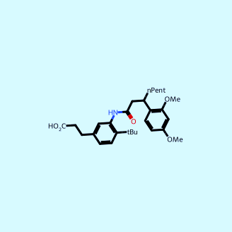 CCCCCC(CC(=O)Nc1cc(CCC(=O)O)ccc1C(C)(C)C)c1ccc(OC)cc1OC